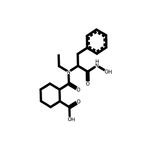 CCN(C(=O)C1CCCCC1C(=O)O)C(Cc1ccccc1)C(=O)NO